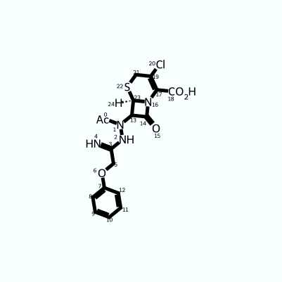 CC(=O)N(NC(=N)COc1ccccc1)C1C(=O)N2C(C(=O)O)=C(Cl)CS[C@H]12